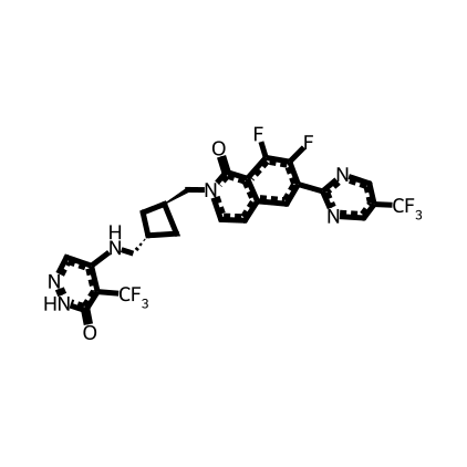 O=c1[nH]ncc(NC[C@H]2C[C@H](Cn3ccc4cc(-c5ncc(C(F)(F)F)cn5)c(F)c(F)c4c3=O)C2)c1C(F)(F)F